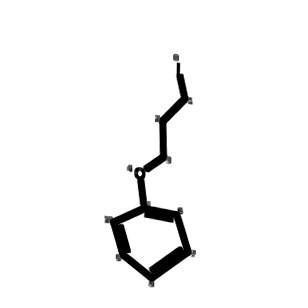 ICCCOc1ccccc1